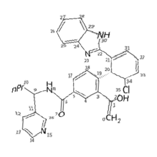 C=C(O)c1cc(C(=O)NC(CCC)c2cccnc2)ccc1[C@@H]1C(c2nc3ccccc3[nH]2)=CC=CC1Cl